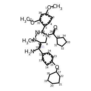 COc1ccc(CN(C/C(=C(/N)c2ccc(OC3CCCCC3)cc2)N(C)N)C(=O)C2CCCC2)c(OC)c1